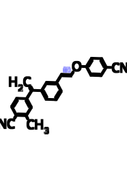 C=C(c1cccc(/C=C/Oc2ccc(C#N)cc2)c1)c1ccc(C#N)c(C)c1